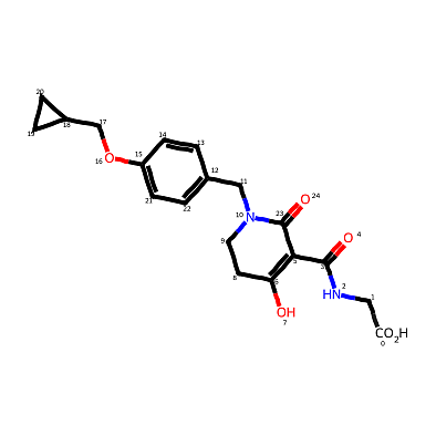 O=C(O)CNC(=O)C1=C(O)CCN(Cc2ccc(OCC3CC3)cc2)C1=O